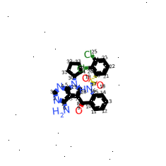 Nc1ncnc2c1c(C(=O)c1ccccc1NS(=O)(=O)c1cccc(Cl)c1Cl)cn2C1CCCC1